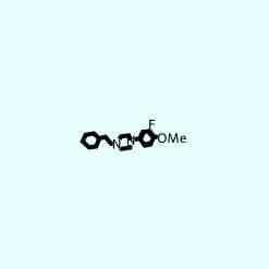 COc1ccc(N2CCN(CCC3CCCCC3)CC2)cc1F